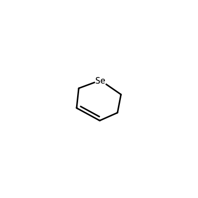 C1=CC[Se]CC1